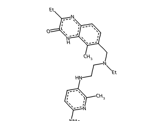 CCc1nc2ccc(CN(CC)CCNc3ccc(NC)nc3C)c(C)c2[nH]c1=O